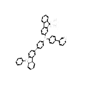 CC1(C)c2ccccc2-c2ccc(N(c3ccc(-c4cccnc4)cc3)c3ccc(-c4ccc5c(c4)C4C=CC=CC4N5c4ccccc4)cc3)cc21